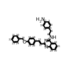 Nc1ccc(CCNc2nc(C=Cc3ccc(OCc4ccccc4)cc3)nc3ccccc23)cc1